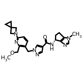 COCc1nc(N2CC3(CC3)C2)ccc1Cn1cc(C(=O)N[C@@H]2CCc3c2ncn3C)cn1